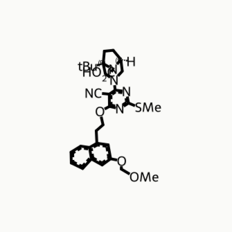 COCOc1cc(CCOc2nc(SC)nc(N3C[C@@H]4CC[C@@](C(C)(C)C)(C3)N4C(=O)O)c2C#N)c2ccccc2c1